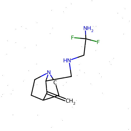 C=C1C2CCN(CC2)C1CNCC(N)(F)F